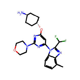 Cc1cccc2c1nc(C(F)F)n2-c1cc(O[C@H]2CC[C@H](N)CC2)nc(N2CCOCC2)n1